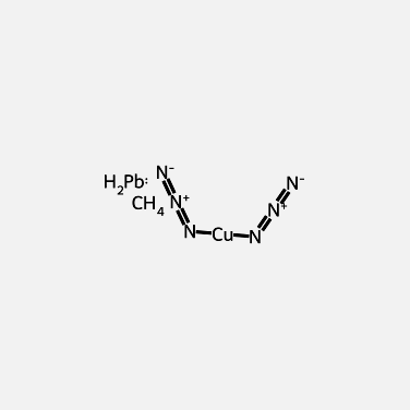 C.[N-]=[N+]=[N][Cu][N]=[N+]=[N-].[PbH2]